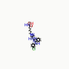 O=C(CCCCCn1cc(Nc2nc(Nc3cccc(Cl)c3)c3ccccc3n2)cn1)NO